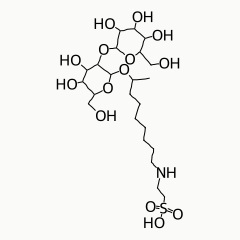 CC(CCCCCCCNCCS(=O)(=O)O)OC1OC(CO)C(O)C(O)C1OC1OC(CO)C(O)C(O)C1O